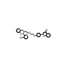 O=c1cc(-c2ccc(OCCOCCN(Cc3ncccc3Cl)Cc3ncccc3Cl)cc2)oc2ccccc12